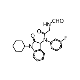 O=CNCC(=O)N(c1cccc(F)c1)C1C(=O)N(C2CCCCC2)c2ccccc21